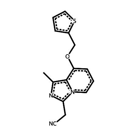 Cc1nc(CC#N)n2cccc(OCc3cccs3)c12